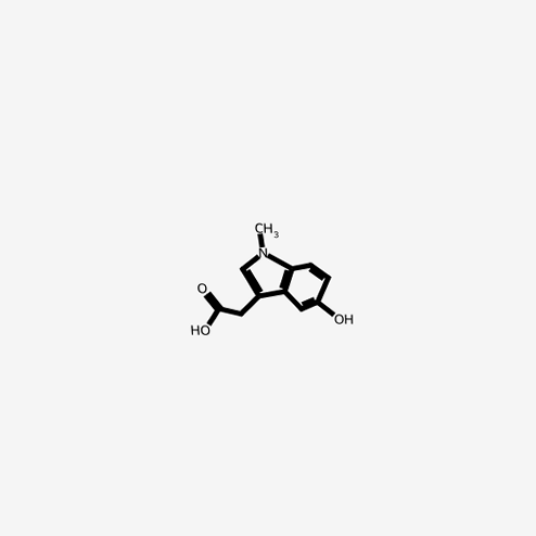 Cn1cc(CC(=O)O)c2cc(O)ccc21